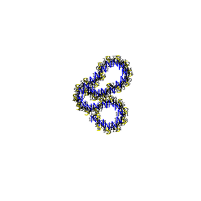 [c]1csc(-c2csc(-c3csc(-c4csc(-c5csc(-c6csc(-c7csc(-c8csc(-c9csc(-c%10csc(-c%11csc(-c%12csc(-c%13csc(-c%14csc(-c%15csc(-c%16csc(-c%17csc(-c%18csc(-c%19csc(-c%20csc(-c%21csc(-c%22csc(-c%23csc(-c%24csc(-c%25csc(-c%26csc(-c%27csc(-c%28cscn%28)n%27)n%26)n%25)n%24)n%23)n%22)n%21)n%20)n%19)n%18)n%17)n%16)n%15)n%14)n%13)n%12)n%11)n%10)n9)n8)n7)n6)n5)n4)n3)n2)n1